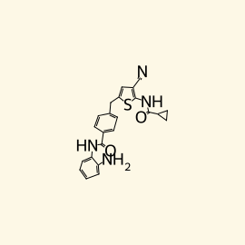 N#Cc1cc(Cc2ccc(C(=O)Nc3ccccc3N)cc2)sc1NC(=O)C1CC1